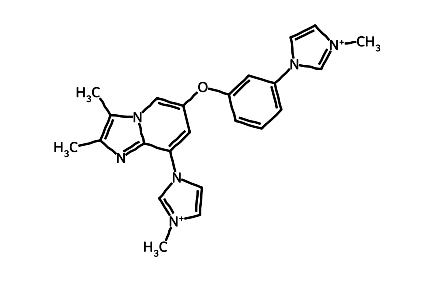 Cc1nc2c(-n3cc[n+](C)c3)cc(Oc3cccc(-n4cc[n+](C)c4)c3)cn2c1C